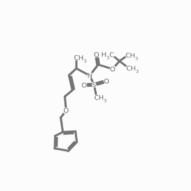 CC(C=CCOCc1ccccc1)N(C(=O)OC(C)(C)C)S(C)(=O)=O